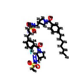 C=CS(=O)(=O)NC[C@H]1CCN(C(=O)c2cc(C/C=C/S(=O)(=O)NC[C@H]3CCN(C(=O)c4ccc(CCCCCCC)cc4)C3)ccc2F)C1